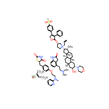 C=CC[N+]1([C@H]2C[C@H]3[C@@H]4CC[C@H]5C[C@H](O)[C@@H](N6CCOCC6)C[C@]5(C)[C@H]4CC[C@]3(C)[C@H]2OC(C)=O)CCCC1.CCCN(CCC)CCc1cccc2c1CC(=O)N2.CN(CCOc1ccc(CC2SC(=O)NC2=O)cc1)c1ccccn1.CS(=O)(=O)c1ccc(C2=C(c3ccccc3)C(=O)OC2)cc1.Cl.O=C(O)/C=C\C(=O)O.[Br-]